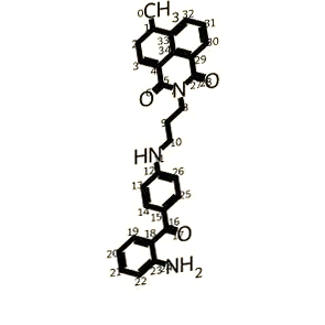 CC1CC=C2C(=O)N(CCCNc3ccc(C(=O)c4ccccc4N)cc3)C(=O)c3cccc1c32